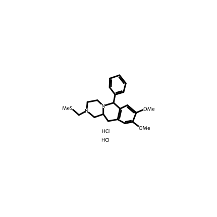 COc1cc2c(cc1OC)C(c1ccccc1)N1CCN(CSC)CC1C2.Cl.Cl